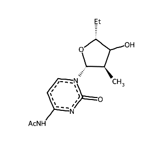 CC[C@H]1O[C@@H](n2ccc(NC(C)=O)nc2=O)[C@H](C)C1O